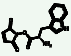 N[C@@H](Cc1c[nH]c2ccccc12)C(=O)ON1C(=O)C=CC1=O